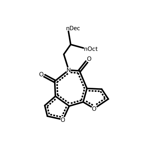 CCCCCCCCCCC(CCCCCCCC)Cn1c(=O)c2ccoc2c2occc2c1=O